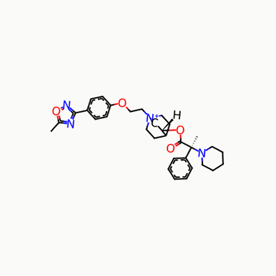 Cc1nc(-c2ccc(OCC[N+]34CCC(CC3)[C@@H](OC(=O)[C@](C)(c3ccccc3)N3CCCCC3)C4)cc2)no1